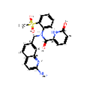 CS(=O)(=O)c1ccccc1N(Cc1ccc2ccc(N)nc2c1)C(=O)c1cccc(=O)[nH]1